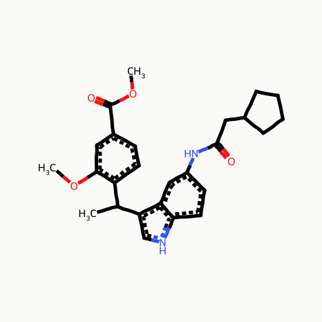 COC(=O)c1ccc(C(C)c2c[nH]c3ccc(NC(=O)CC4CCCC4)cc23)c(OC)c1